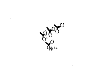 CC(=O)[O-].CC(=O)[O-].CC(=O)[O-].CC(=O)[O-].[W+4]